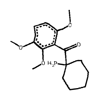 COc1ccc(OC)c(C(=O)C2(P)CCCCC2)c1OC